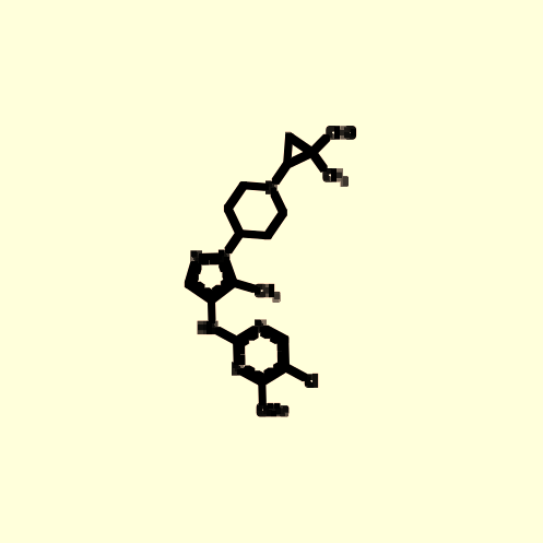 COc1nc(Nc2cnn(C3CCN(C4CC4(C)C=O)CC3)c2C)ncc1Cl